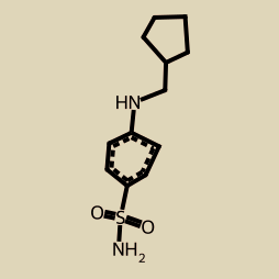 NS(=O)(=O)c1ccc(NCC2CCCC2)cc1